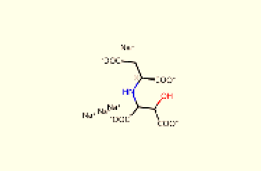 O=C([O-])C[C@H](NC(C(=O)[O-])C(O)C(=O)[O-])C(=O)[O-].[Na+].[Na+].[Na+].[Na+]